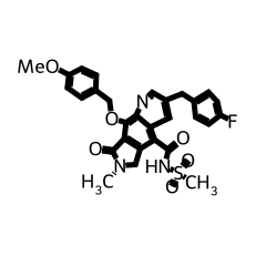 COc1ccc(COc2c3c(c(C(=O)NS(C)(=O)=O)c4cc(Cc5ccc(F)cc5)cnc24)CN(C)C3=O)cc1